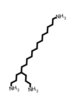 NCCCCCCCCCCCCCC(CCCN)CCCN